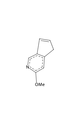 COc1cc2c(cn1)C=CC2